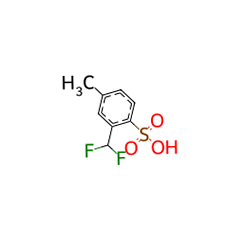 Cc1ccc(S(=O)(=O)O)c(C(F)F)c1